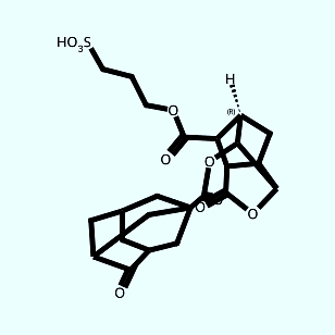 O=C1C2CC3CC1CC(C(=O)OC1C4OC(=O)C5C4C[C@@H]1C5C(=O)OCCCS(=O)(=O)O)(C3)C2